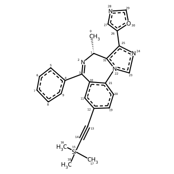 C[C@H]1N=C(c2ccccc2)c2cc(C#C[Si](C)(C)C)ccc2-n2cnc(-c3cnco3)c21